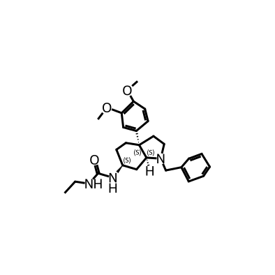 CCNC(=O)N[C@H]1CC[C@@]2(c3ccc(OC)c(OC)c3)CCN(Cc3ccccc3)[C@H]2C1